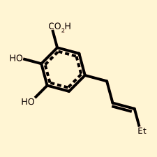 CC/C=C/Cc1cc(O)c(O)c(C(=O)O)c1